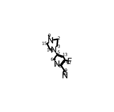 CN1CCN(c2cnc(C#N)c(F)c2)CC1